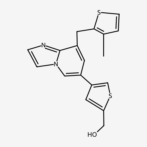 Cc1ccsc1Cc1cc(-c2csc(CO)c2)cn2ccnc12